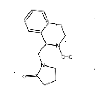 O=CN1CCc2ccccc2C1CN1CCCC1=O